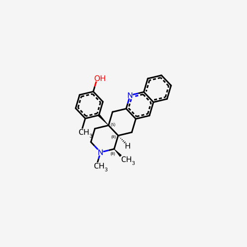 Cc1ccc(O)cc1[C@]12CCN(C)[C@H](C)[C@@H]1Cc1cc3ccccc3nc1C2